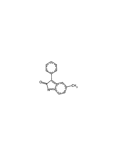 Cc1ccc2c(c1)=C(c1ccccc1)C(=O)N=2